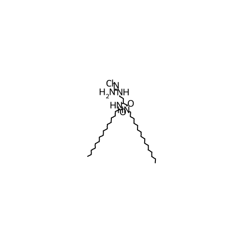 CCCCCCCCCCCCCCCCNC(=O)C(CCN/C(N)=N/Cl)NC(=O)CCCCCCCCCCCCCCC